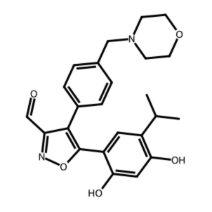 CC(C)c1cc(-c2onc(C=O)c2-c2ccc(CN3CCOCC3)cc2)c(O)cc1O